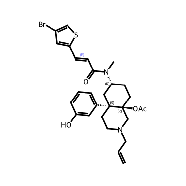 C=CCN1CC[C@@]2(c3cccc(O)c3)C[C@H](N(C)C(=O)/C=C/c3cc(Br)cs3)CC[C@]2(OC(C)=O)C1